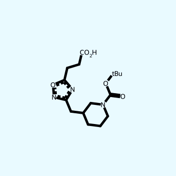 CC(C)(C)OC(=O)N1CCCC(Cc2noc(CCC(=O)O)n2)C1